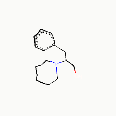 OCC(Cc1ccccc1)N1CCCCC1